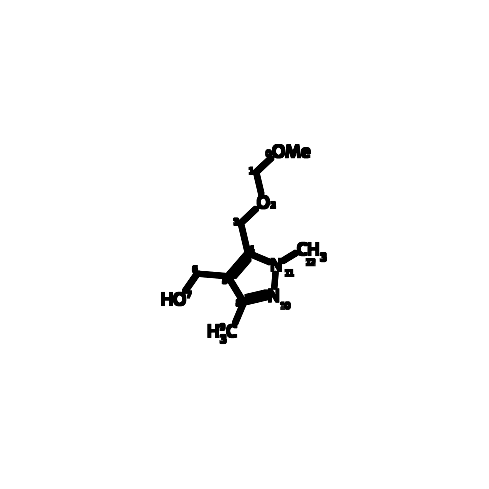 COCOCc1c(CO)c(C)nn1C